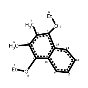 CCOc1c(C)c(C)c(OCC)c2ccccc12